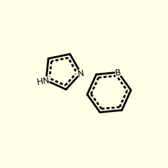 b1ccccc1.c1c[nH]cn1